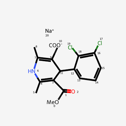 COC(=O)C1=C(C)NC(C)=C(C(=O)[O-])C1c1cccc(Cl)c1Cl.[Na+]